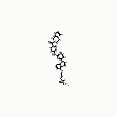 CS(=O)(=O)CCCOc1cccc2c1ccn2-c1ccnc(NC2CCC(C(=O)N3CCn4ccnc4C3)CC2)n1